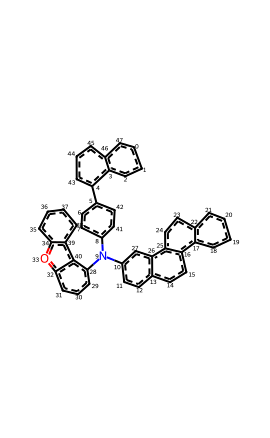 c1ccc2c(-c3ccc(N(c4ccc5ccc6c7ccccc7ccc6c5c4)c4cccc5oc6ccccc6c45)cc3)cccc2c1